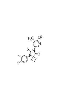 Cc1cc(N2C(=S)N(c3cnc(C#N)c(C(F)(F)F)c3)C(=O)C23CCC3)ccc1F